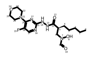 CCCCC[C@@H](CN(O)C=O)C(=O)NNc1ncc(F)c(N2CCOCC2)n1